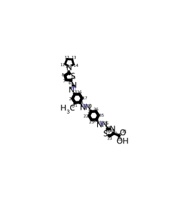 Cc1cc(/N=N/c2ccc(N3CCCC3)s2)ccc1/N=N/c1ccc(/N=N/c2nc(C(=O)O)cs2)cc1